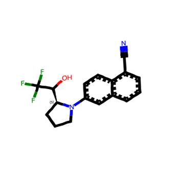 N#Cc1cccc2cc(N3CCC[C@H]3C(O)C(F)(F)F)ccc12